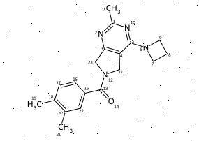 Cc1nc2c(c(N3CCC3)n1)CN(C(=O)c1ccc(C)c(C)c1)C2